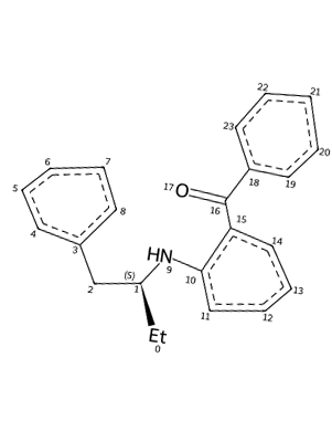 CC[C@@H](Cc1ccccc1)Nc1ccccc1C(=O)c1ccccc1